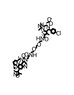 COC(=O)C[C@@H]1N=C(c2ccc(Cl)cc2)c2c(sc(C(=O)NCCOCCOCCNC(=O)Cn3c(=O)n([C@H](C)c4ccccn4)c4c5cc(OC)c(-c6c(C)noc6C)cc5ncc43)c2C)-n2c(C)nnc21